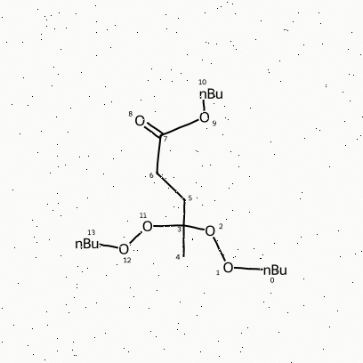 CCCCOOC(C)(CCC(=O)OCCCC)OOCCCC